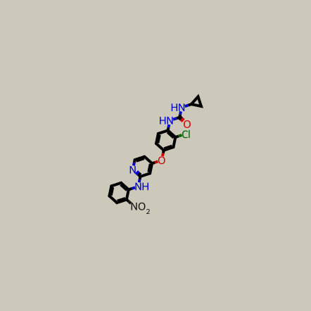 O=C(Nc1ccc(Oc2ccnc(Nc3ccccc3[N+](=O)[O-])c2)cc1Cl)NC1CC1